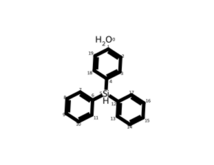 O.c1ccc([SiH](c2ccccc2)c2ccccc2)cc1